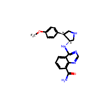 NC(=O)c1cccc2c(N[C@H]3CNC[C@@H]3c3ccc(OC(F)(F)F)cc3)ncnc12